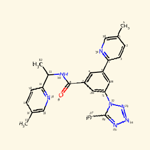 Cc1ccc(-c2cc(C(=O)NC(C)c3ccc(C)cn3)cc(-n3nnnc3C(C)C)c2)nc1